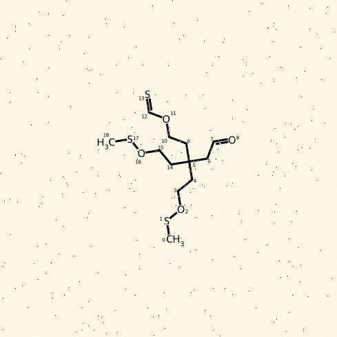 CSOCCC(CC=O)(CCOC=S)CCOSC